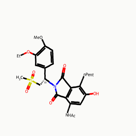 CCCCCc1c(O)cc(NC(C)=O)c2c1C(=O)N([C@H](CS(C)(=O)=O)c1ccc(OC)c(OCC)c1)C2=O